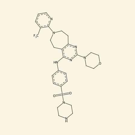 O=S(=O)(c1ccc(Nc2nc(N3CCOCC3)nc3c2CCN(c2ncccc2C(F)(F)F)CC3)cc1)N1CCNCC1